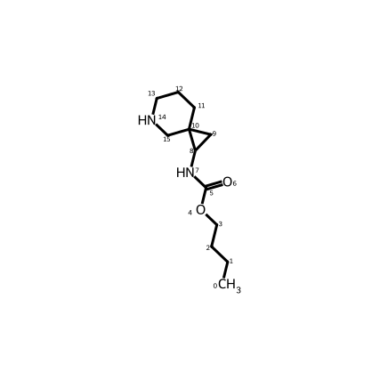 CCCCOC(=O)NC1CC12CCCNC2